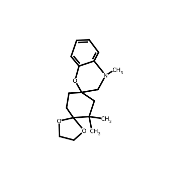 CN1CC2(CCC3(OCCO3)C(C)(C)C2)Oc2ccccc21